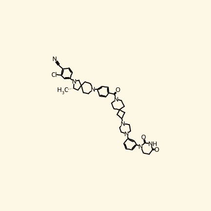 C[C@H]1CC2(CCN(c3ccc(C(=O)N4CCC5(CC4)CC(N4CCN(c6cccc(N7CCC(=O)NC7=O)c6)CC4)C5)cc3)CC2)CN1c1ccc(C#N)c(Cl)c1